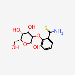 NC(=S)c1ccccc1O[C@@H]1[C@@H](O)[C@@H](O)[C@@H](CO)O[C@H]1O